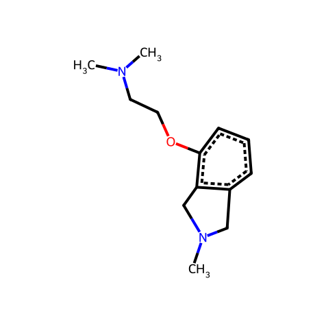 CN(C)CCOc1cccc2c1CN(C)C2